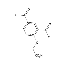 O=C(O)COc1ccc(C(=O)Cl)cc1C(=O)Cl